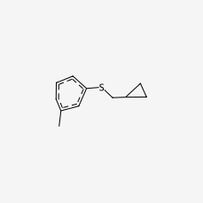 Cc1cccc(SCC2CC2)c1